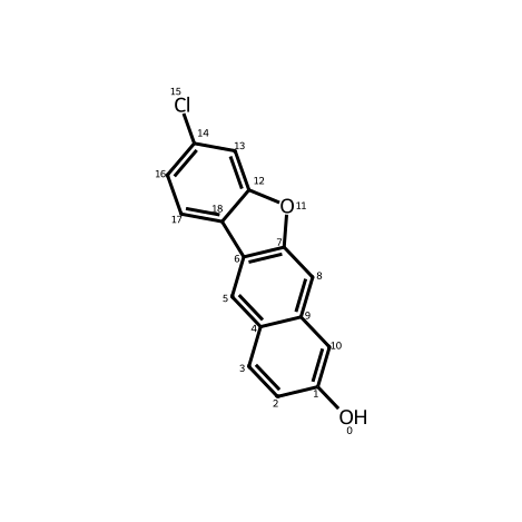 Oc1ccc2cc3c(cc2c1)oc1cc(Cl)ccc13